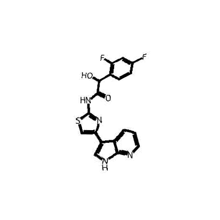 O=C(Nc1nc(-c2c[nH]c3ncccc23)cs1)C(O)c1ccc(F)cc1F